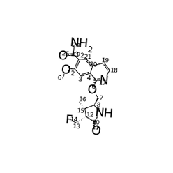 COc1cc2c(OC[C@H]3NC(=O)[C@H](CF)[C@@H]3C)nccc2cc1C(N)=O